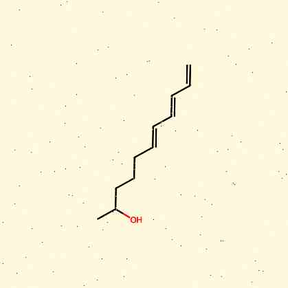 C=CC=CC=CCCCC(C)O